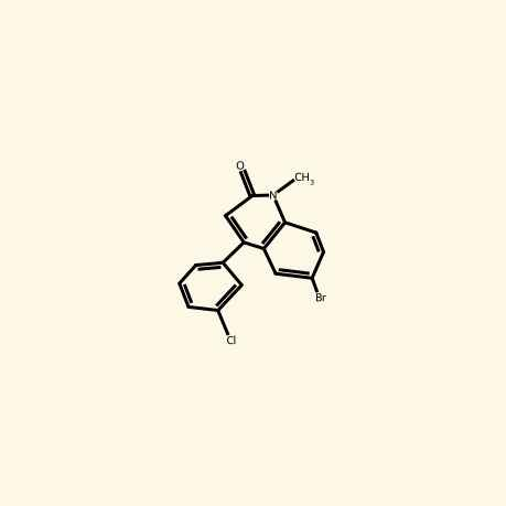 Cn1c(=O)cc(-c2cccc(Cl)c2)c2cc(Br)ccc21